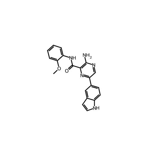 COc1ccccc1NC(=O)c1nc(-c2ccc3[nH]ccc3c2)cnc1N